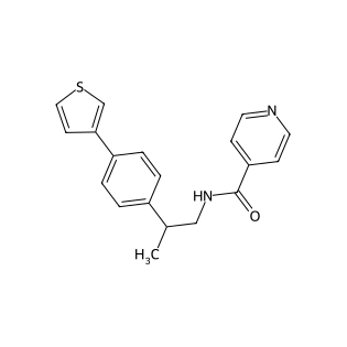 CC(CNC(=O)c1ccncc1)c1ccc(-c2ccsc2)cc1